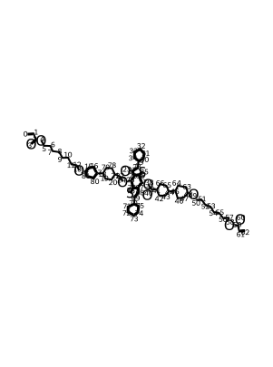 C=CC(=O)OCCCCCCCCOc1ccc(C2CCC(C(=O)Oc3c4cc(-c5ccccc5)sc4c(OC(=O)C4CCC(C5CCC(OCCCCCCCCOC(=O)C=C)CC5)CC4)c4cc(-c5ccccc5)sc34)CC2)cc1